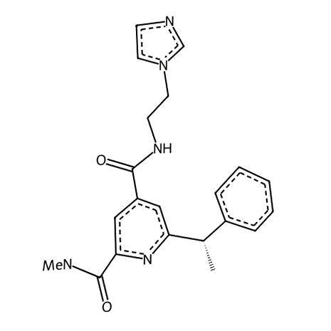 CNC(=O)c1cc(C(=O)NCCn2ccnc2)cc([C@@H](C)c2ccccc2)n1